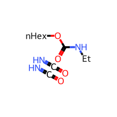 CCCCCCOC(=O)NCC.N=C=O.N=C=O